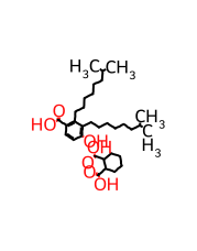 CC(C)CCCCCCc1c(O)ccc(C(=O)O)c1CCCCCCC(C)C.O=C(O)C1CCCCC1C(=O)O